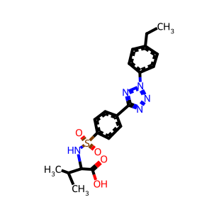 CCc1ccc(-n2nnc(-c3ccc(S(=O)(=O)NC(C(=O)O)C(C)C)cc3)n2)cc1